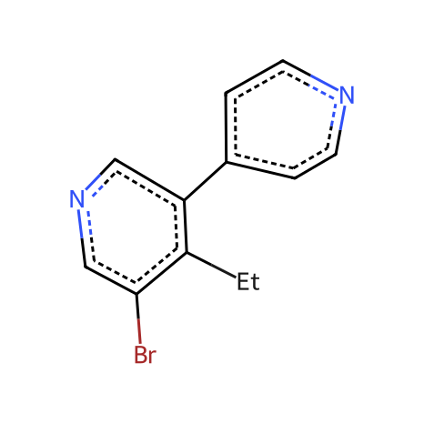 CCc1c(Br)cncc1-c1ccncc1